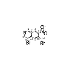 O=[N+]([O-])c1cc2cncc(Br)c2cc1CBr